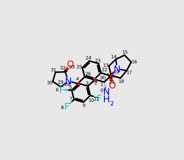 N[C@H](Cc1cc(F)c(F)cc1F)C1CC2CCC(C1)N2C(=O)c1cccc(CN2CCCC2=O)c1